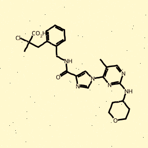 Cc1cnc(NC2CCOCC2)nc1-n1cnc(C(=O)NCc2ccccc2CC(C)(Cl)C(=O)O)c1